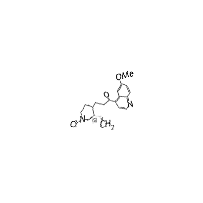 C=C[C@@H]1CN(Cl)CCC1CCC(=O)c1ccnc2ccc(OC)cc12